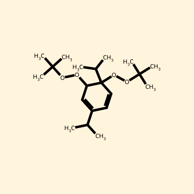 CC(C)C1=CC(OOC(C)(C)C)C(OOC(C)(C)C)(C(C)C)C=C1